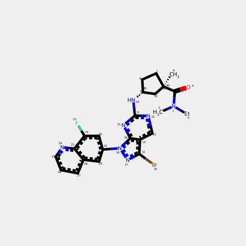 CCN(C)C(=O)[C@]1(C)CC[C@@H](Nc2ncc3c(Br)nn(-c4cc(F)c5ncccc5c4)c3n2)C1